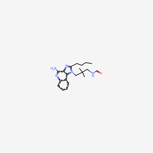 CCCCc1nc2c(N)nc3ccccc3c2n1CC(C)(C)CNC=O